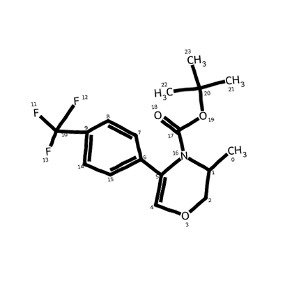 CC1COC=C(c2ccc(C(F)(F)F)cc2)N1C(=O)OC(C)(C)C